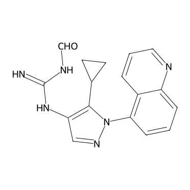 N=C(NC=O)Nc1cnn(-c2cccc3ncccc23)c1C1CC1